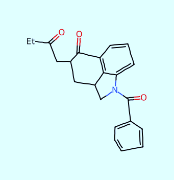 CCC(=O)CC1CC2CN(C(=O)c3ccccc3)c3cccc(c32)C1=O